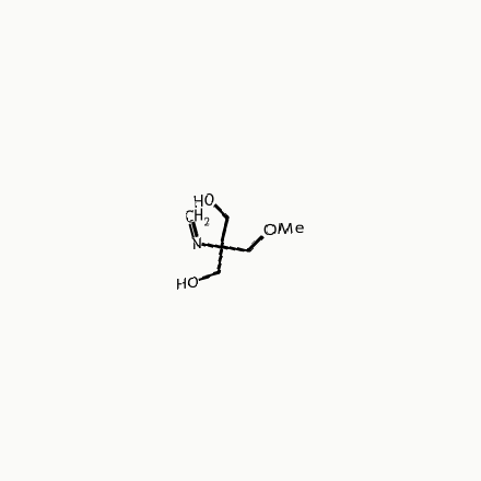 C=NC(CO)(CO)COC